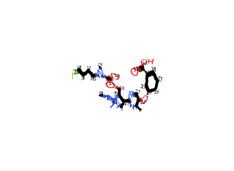 Cc1nc(-c2cnn(C)c2COC(=O)N(C)CCCCF)ncc1O[C@H]1CCC[C@H](C(=O)O)C1